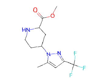 COC(=O)C1CC(n2nc(C(F)(F)F)cc2C)CCN1